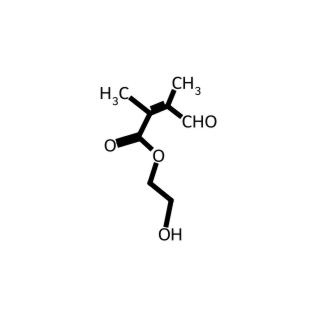 CC(C=O)=C(C)C(=O)OCCO